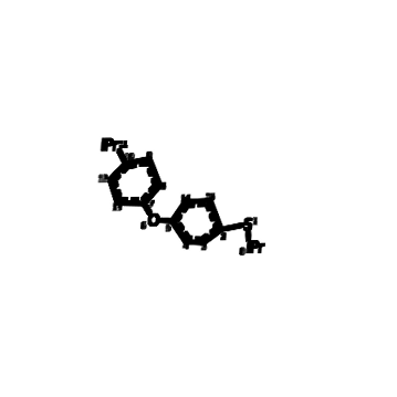 CC(C)Sc1ccc(Oc2ccc(C(C)C)cc2)cc1